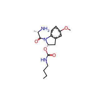 CCCCNC(=O)O[C@H]1Cc2cc(OC)ccc2N1C(=O)[C@H](C)N